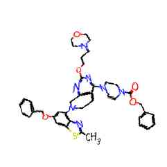 Cc1nc2c(N3CCc4c(nc(OCCCN5CCOCC5)nc4N4CCN(C(=O)OCc5ccccc5)CC4)C3)cc(OCc3ccccc3)cc2s1